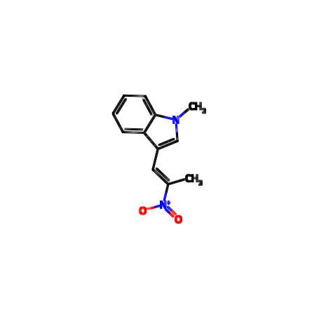 C/C(=C\c1cn(C)c2ccccc12)[N+](=O)[O-]